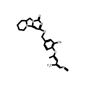 C=N/C=C(\C=C(/C)Oc1ccc(COc2cc3n(c(=O)n2)CC2CCCCN32)cc1C#N)C(F)(F)F